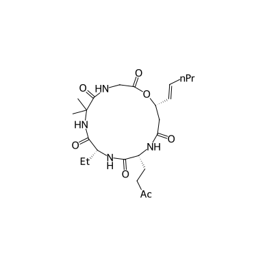 CCC/C=C/[C@@H]1CC(=O)N[C@H](CCC(C)=O)C(=O)N[C@H](CC)C(=O)NC(C)(C)C(=O)NCC(=O)O1